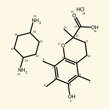 Cc1c(C)c2c(c(C)c1O)CCC(C)(C(=O)O)O2.Cl.NC1CCC(N)CC1